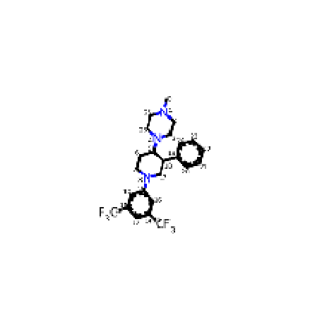 CN1CCN(C2CCN(c3cc(C(F)(F)F)cc(C(F)(F)F)c3)CC2c2ccccc2)CC1